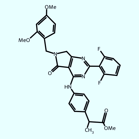 COC(=O)C(C)c1ccc(Nc2nc(-c3c(F)cccc3F)nc3c2C(=O)N(Cc2ccc(OC)cc2OC)C3)cc1